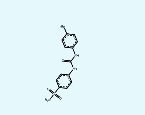 CCC(C)c1ccc(NC(=O)Nc2ccc(S(N)(=O)=O)cc2)cc1